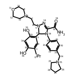 CC(C)c1cc(C2N(CCN3CCOCC3)N=C(C(N)=O)N2c2ccc(CN3CCCC3)cc2)c(O)cc1O